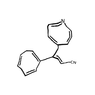 N#CC=C(c1ccccc1)c1ccncc1